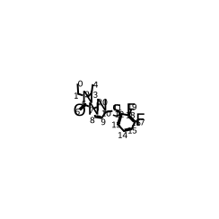 CCN(CC)C(=O)n1ccc(Sc2cccc(F)c2F)n1